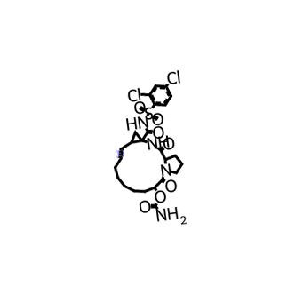 NC(=O)OC1CCCCC/C=C/C2CC2(C(=O)NS(=O)(=O)c2ccc(Cl)cc2Cl)NC(=O)C2CCCN2C1=O